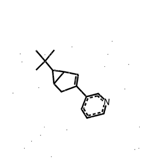 CC(C)(C)C1C2C=C(c3cccnc3)CC21